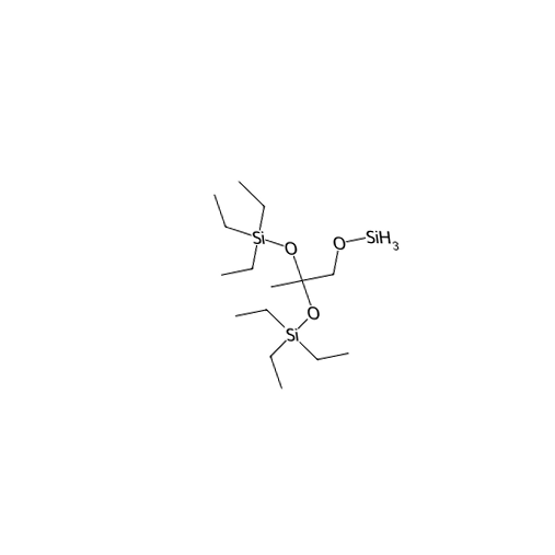 CC[Si](CC)(CC)OC(C)(CO[SiH3])O[Si](CC)(CC)CC